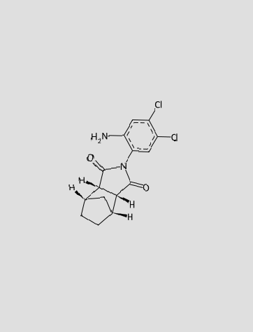 Nc1cc(Cl)c(Cl)cc1N1C(=O)[C@@H]2[C@@H]3CC[C@@H](C3)[C@@H]2C1=O